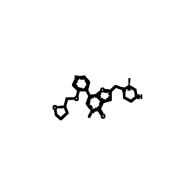 C[C@@H]1CNCCN1Cc1cc2c(=O)n(C)cc(-c3ccncc3OCC3CCCO3)c2o1